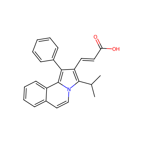 CC(C)c1c(C=CC(=O)O)c(-c2ccccc2)c2c3ccccc3ccn12